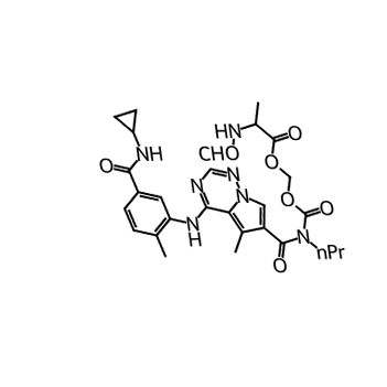 CCCN(C(=O)OCOC(=O)C(C)NC=O)C(=O)c1cn2ncnc(Nc3cc(C(=O)NC4CC4)ccc3C)c2c1C